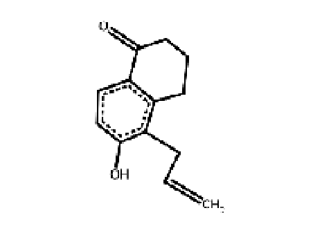 C=CCc1c(O)ccc2c1CCCC2=O